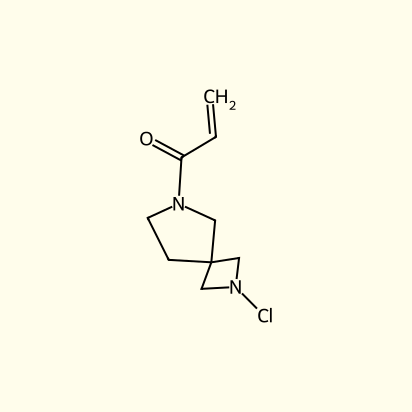 C=CC(=O)N1CCC2(CN(Cl)C2)C1